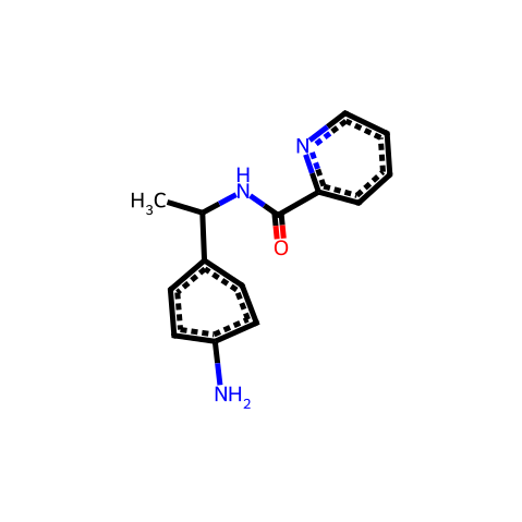 CC(NC(=O)c1ccccn1)c1ccc(N)cc1